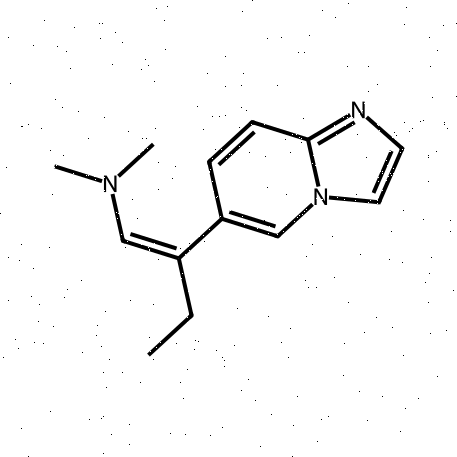 CC/C(=C/N(C)C)c1ccc2nccn2c1